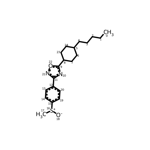 CCCCCC1CCC(c2nc(-c3ccc([S+](C)[O-])cc3)no2)CC1